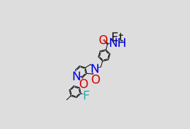 CCNC(=O)c1ccc(CN2Cc3ccnc(Oc4ccc(C)cc4F)c3C2=O)cc1